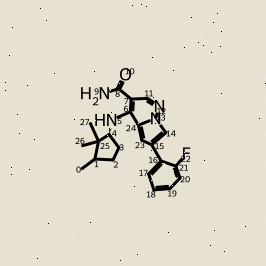 CC1CC[C@@H](Nc2c(C(N)=O)cnn3cc(-c4ccccc4F)cc23)C1(C)C